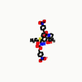 CC(=O)S[C@@]1(CNC(=O)OCc2ccc([N+](=O)[O-])cc2)CC(O)=C([C@]2(C)CCCN2C(=O)OCc2ccc([N+](=O)[O-])cc2)c2ccccc21